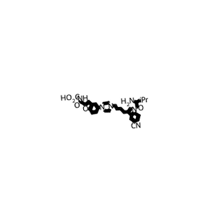 CC(C)C(N)C(=O)n1cc(CCCCN2CCN(c3ccc4oc(C(=O)NC(=O)O)cc4c3)CC2)c2cc(C#N)ccc21